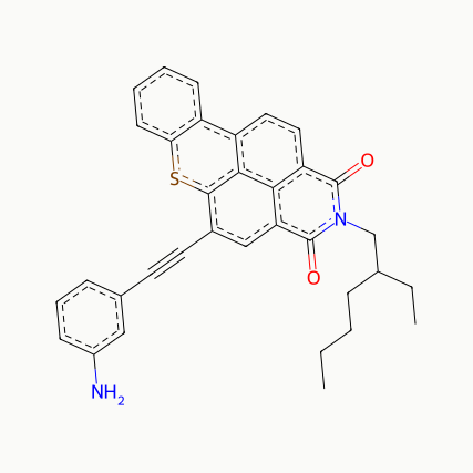 CCCCC(CC)Cn1c(=O)c2ccc3c4ccccc4sc4c(C#Cc5cccc(N)c5)cc(c1=O)c2c43